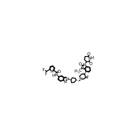 Cn1c(=O)n(C2CCC(=O)NC2=O)c2cccc([C@@H]3CCN(C[C@H]4CC[C@H](n5cc6cc(NC(=O)c7cccc(C(F)F)n7)ccc6n5)CC4)C[C@@H]3F)c21